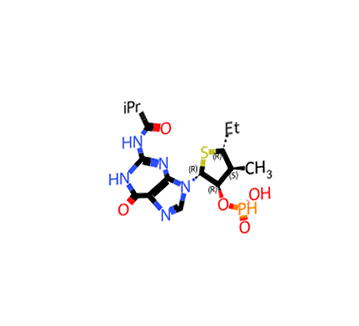 CC[C@H]1S[C@@H](n2cnc3c(=O)[nH]c(NC(=O)C(C)C)nc32)[C@H](O[PH](=O)O)[C@@H]1C